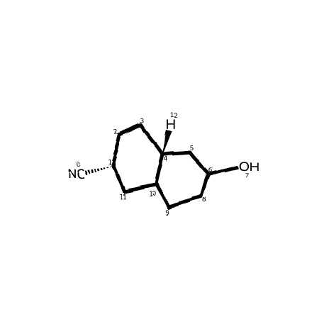 N#C[C@@H]1CC[C@@H]2CC(O)CCC2C1